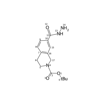 CC(C)(C)OC(=O)N1CCc2ccc(C(=O)NN)cc2C1